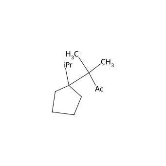 CC(=O)C(C)(C)C1(C(C)C)CCCC1